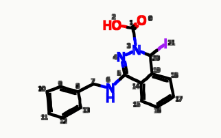 O=C(O)N1N=C(NCc2ccccc2)c2ccccc2C1I